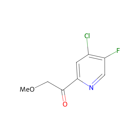 COCC(=O)c1cc(Cl)c(F)cn1